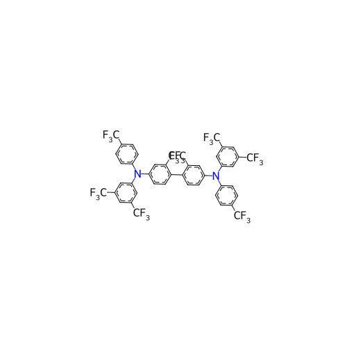 FC(F)(F)c1ccc(N(c2cc(C(F)(F)F)cc(C(F)(F)F)c2)c2ccc(-c3ccc(N(c4ccc(C(F)(F)F)cc4)c4cc(C(F)(F)F)cc(C(F)(F)F)c4)cc3C(F)(F)F)c(C(F)(F)F)c2)cc1